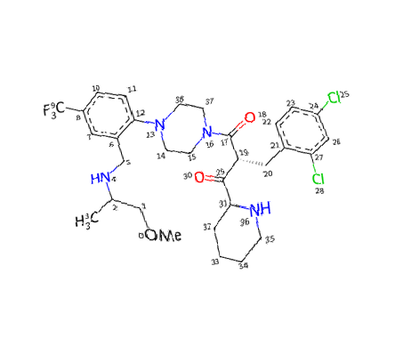 COCC(C)NCc1cc(C(F)(F)F)ccc1N1CCN(C(=O)[C@H](Cc2ccc(Cl)cc2Cl)C(=O)C2CCCCN2)CC1